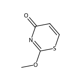 COc1nc(=O)ccs1